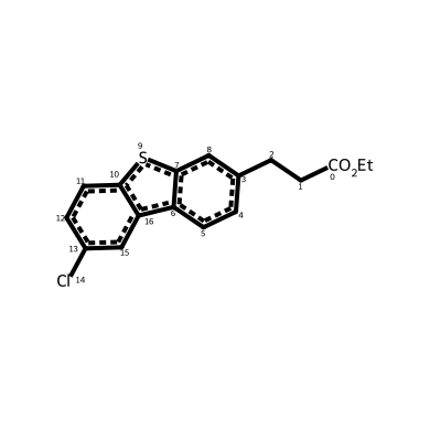 CCOC(=O)CCc1ccc2c(c1)sc1ccc(Cl)cc12